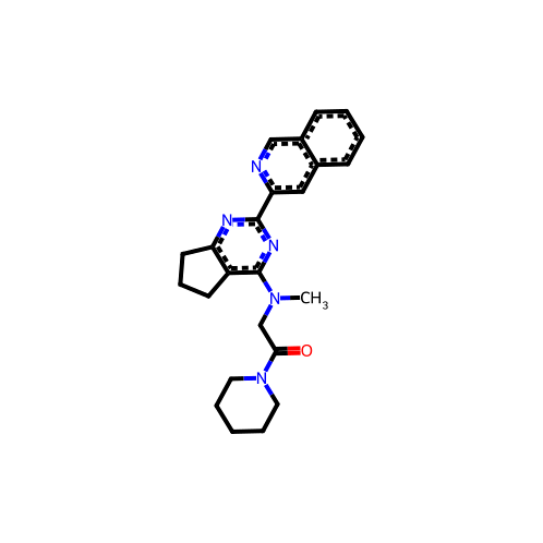 CN(CC(=O)N1CCCCC1)c1nc(-c2cc3ccccc3cn2)nc2c1CCC2